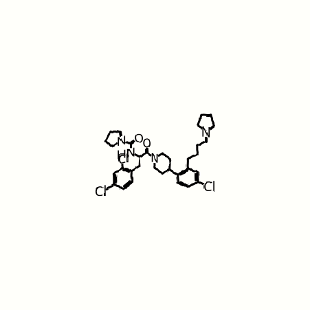 O=C(N[C@H](Cc1ccc(Cl)cc1Cl)C(=O)N1CCC(c2ccc(Cl)cc2CCCCN2CCCC2)CC1)N1CCCC1